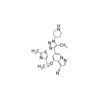 Cc1nc([C@@H](C)Oc2cc(-c3nnn(C4CCNCC4)c3C)cn3ncc(C#N)c23)cs1